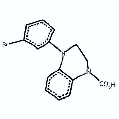 O=C(O)N1CCN(c2cccc(Br)c2)c2ccccc21